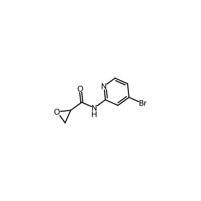 O=C(Nc1cc(Br)ccn1)C1CO1